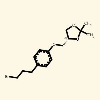 CC1(C)OC[C@@H](COc2ccc(CCCBr)cc2)O1